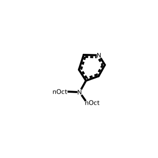 CCCCCCCCN(CCCCCCCC)c1ccncc1